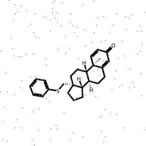 C[C@]12C=CC(=O)C=C1CC[C@H]1[C@@H]3CCC[C@@]3(CSc3ccccc3)CC[C@@H]12